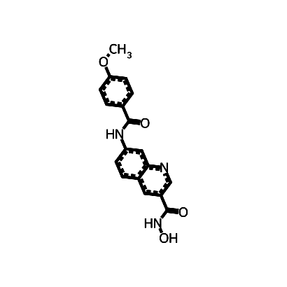 COc1ccc(C(=O)Nc2ccc3cc(C(=O)NO)cnc3c2)cc1